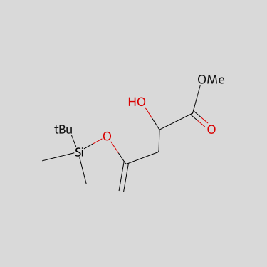 C=C(CC(O)C(=O)OC)O[Si](C)(C)C(C)(C)C